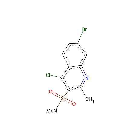 CNS(=O)(=O)c1c(C)nc2cc(Br)ccc2c1Cl